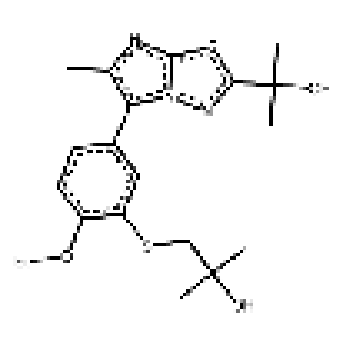 CCOc1ccc(-c2c(C)nc3sc(C(C)(C)O)nn23)cc1SCC(C)(C)O